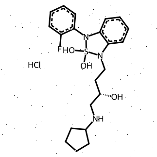 Cl.O[C@@H](CCN1c2ccccc2N(c2ccccc2F)S1(O)O)CNC1CCCC1